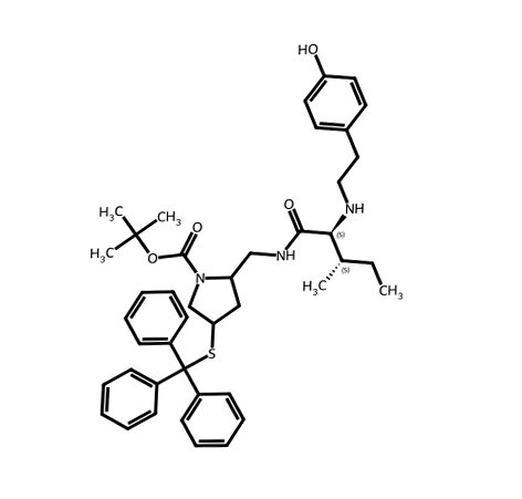 CC[C@H](C)[C@H](NCCc1ccc(O)cc1)C(=O)NCC1CC(SC(c2ccccc2)(c2ccccc2)c2ccccc2)CN1C(=O)OC(C)(C)C